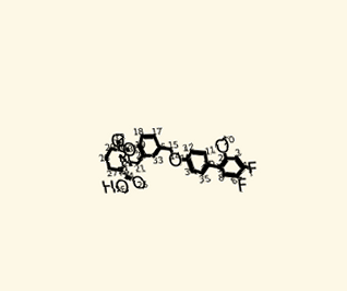 COc1cc(F)c(F)cc1-c1ccc(OCc2cccc(CN3[C@H](C(=O)O)CCCS3(=O)=O)c2)cc1